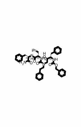 CC(C)C[C@H](NC(=O)N(CCc1ccccc1)C[C@@H](O)[C@H](Cc1ccccc1)NC(=O)OCc1ccccc1)C(=O)N[C@@H](Cc1ccccc1)C(N)=O